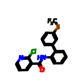 O=C(Nc1ccccc1-c1cccc(SC(F)(F)F)c1)c1cccnc1Cl